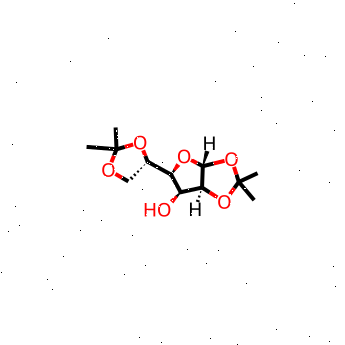 CC1(C)O[C@H]2O[C@H]([C@@H]3COC(C)(C)O3)[C@H](O)[C@@H]2O1